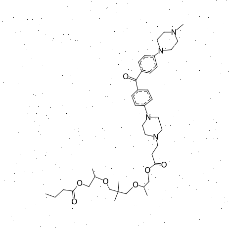 CCCC(=O)OCC(C)OCC(C)(C)COC(C)COC(=O)CCN1CCN(c2ccc(C(=O)c3ccc(N4CCN(C)CC4)cc3)cc2)CC1